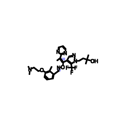 C/C(=C(\O/N=C/c1cc#cc(OCCN(C)C)c1C)c1cnn(CCC(C)(C)O)c1C(F)(F)F)c1ncccn1